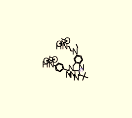 CCN(CCNS(C)(=O)=O)c1ccc(/N=C2/C(C(C)(C)C)=Nn3nc(-c4ccc(NS(C)(=O)=O)cc4)nc32)c(C)c1